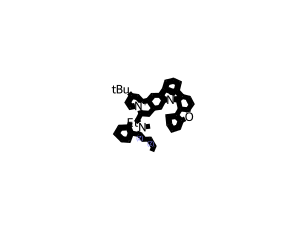 C/C=C\C=C(\c1ccccc1CC)N(C)CC1=CC2Cc3c(c4cccc5c6c(n3c45)C3c4ccccc4OC3C=C6)C=C2c2cc(C(C)(C)C)cc[n+]21